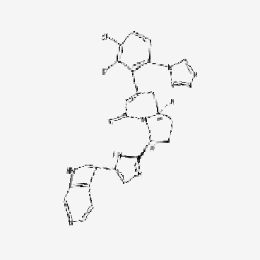 O=C1C=C(c2c(-n3cnnn3)ccc(Cl)c2F)C[C@H]2CC[C@@H](c3ncc(-c4c[nH]c5cnccc45)[nH]3)N12